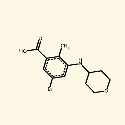 Cc1c(NC2CCOCC2)cc(Br)cc1C(=O)O